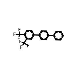 FC(F)(F)c1ccc(-c2ccc(-c3ccccc3)cc2)cc1C(F)(F)F